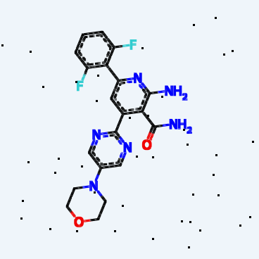 NC(=O)c1c(-c2ncc(N3CCOCC3)cn2)cc(-c2c(F)cccc2F)nc1N